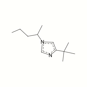 CCCC(C)n1cnc(C(C)(C)C)c1